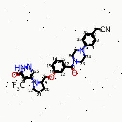 N#CCc1ccc(N2CCN(C(=O)c3cccc(OCC4CCCN4c4cn[nH]c(=O)c4C(F)(F)F)c3)CC2)cc1